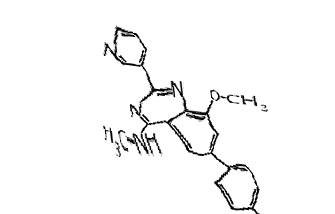 CNc1nc(-c2cccnc2)nc2c(OC)cc(-c3ccc(Cl)cc3)cc12